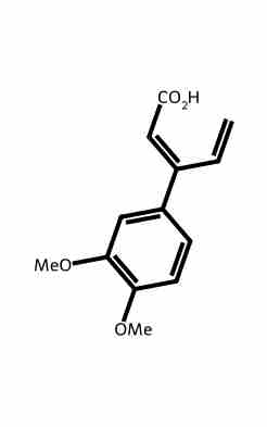 C=CC(=CC(=O)O)c1ccc(OC)c(OC)c1